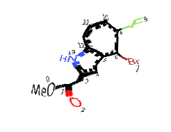 COC(=O)c1cc2c(Br)c(F)ccc2[nH]1